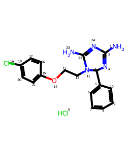 Cl.NC1=NC(c2ccccc2)N(CCOc2ccc(Cl)cc2)C(N)=N1